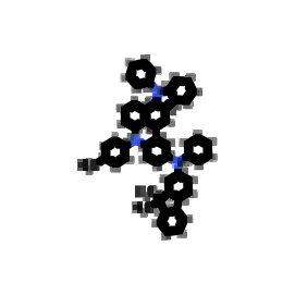 Cc1ccc(N(c2ccccc2)c2ccc(N(c3ccccc3)c3ccc4c(c3)C(C)(C)c3ccccc3-4)cc2-c2ccc3c(c2)c2ccccc2n3-c2ccccc2)cc1